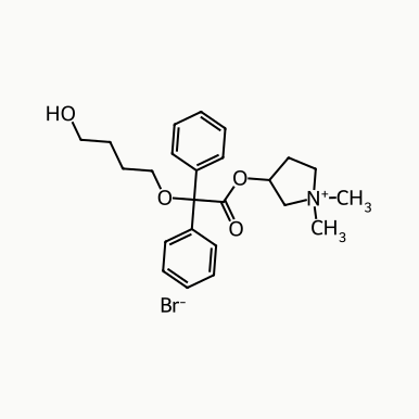 C[N+]1(C)CCC(OC(=O)C(OCCCCO)(c2ccccc2)c2ccccc2)C1.[Br-]